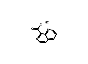 Cl.O=C(Cl)c1nccc2cccnc12